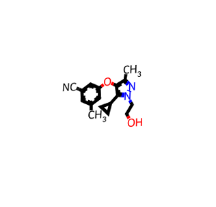 Cc1cc(C#N)cc(Oc2c(C)nn(CCO)c2C2CC2)c1